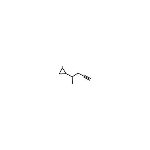 C#CCC(C)C1[CH]C1